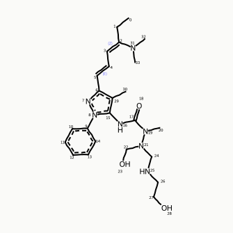 CC/C(=C/C=C/c1nn(-c2ccccc2)c(NC(=O)N(C)N(CO)CNCCO)c1C)N(C)C